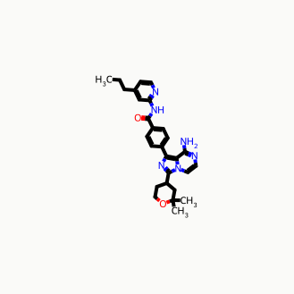 CCCc1ccnc(NC(=O)c2ccc(-c3nc(C4CCOC(C)(C)C4)n4ccnc(N)c34)cc2)c1